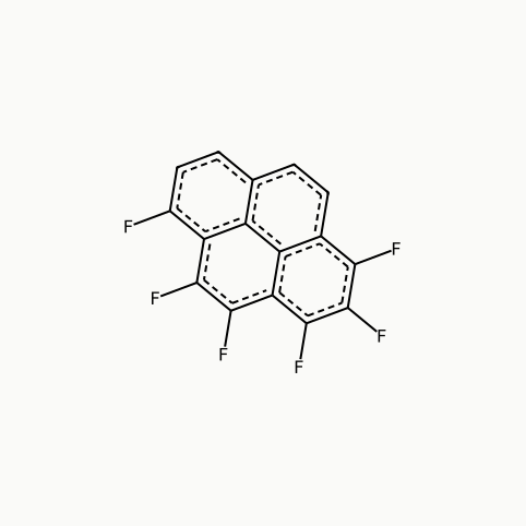 Fc1c(F)c2ccc3ccc(F)c4c(F)c(F)c(c1F)c2c34